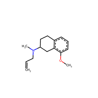 C=CCN(C)C1CCc2cccc(OC)c2C1